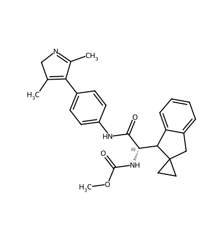 COC(=O)N[C@H](C(=O)Nc1ccc(C2=C(C)CN=C2C)cc1)C1c2ccccc2CC12CC2